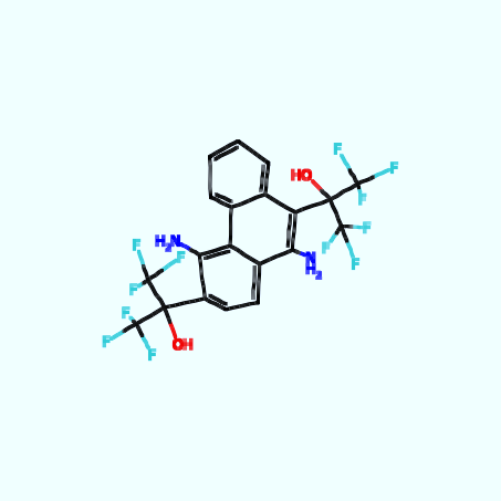 Nc1c(C(O)(C(F)(F)F)C(F)(F)F)c2ccccc2c2c(N)c(C(O)(C(F)(F)F)C(F)(F)F)ccc12